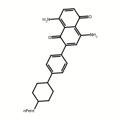 CCCCCC1CCC(c2ccc(C3=CC(N)=C4C(=O)C=CC(N)=C4C3=O)cc2)CC1